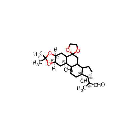 C[C@H](C=O)[C@H]1CCC2C3CC4(OCCO4)C4C[C@@H]5OC(C)(C)O[C@@H]5C[C@]4(C)C3CC[C@@]21C